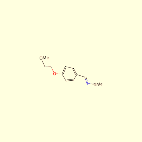 CN/N=C/c1ccc(OCCOC)cc1